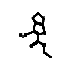 CCOC(=O)c1sc2c(c1N)CCS2